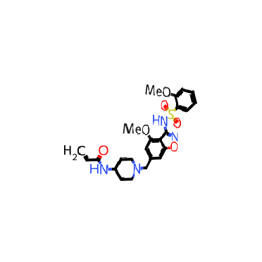 C=CC(=O)NC1CCN(Cc2cc(OC)c3c(NS(=O)(=O)c4ccccc4OC)noc3c2)CC1